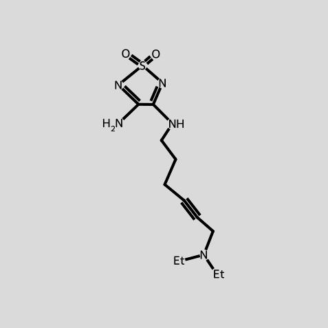 CCN(CC)CC#CCCCNC1=NS(=O)(=O)N=C1N